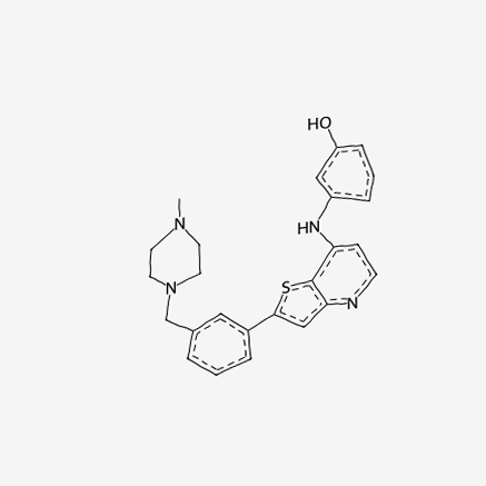 CN1CCN(Cc2cccc(-c3cc4nccc(Nc5cccc(O)c5)c4s3)c2)CC1